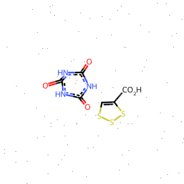 O=C(O)C1=CSSS1.O=c1[nH]c(=O)[nH]c(=O)[nH]1